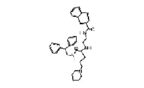 O=C(NCCN[C@@H](CCCN1CCCCC1)C(=O)NCC(c1ccccc1)c1ccccc1)c1ccc2ccccc2c1